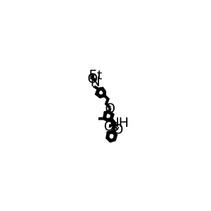 CCON=Cc1ccc(CCOc2cc(C)cc(NS(=O)(=O)c3ccccc3)c2)cc1